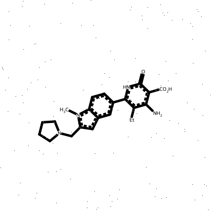 CCc1c(-c2ccc3c(c2)cc(CN2CCCC2)n3C)[nH]c(=O)c(C(=O)O)c1N